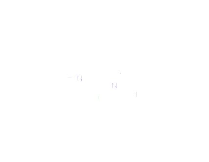 Br.CN(C)CC(N)=O